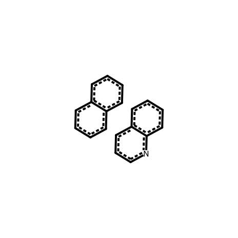 c1ccc2ccccc2c1.c1ccc2ncccc2c1